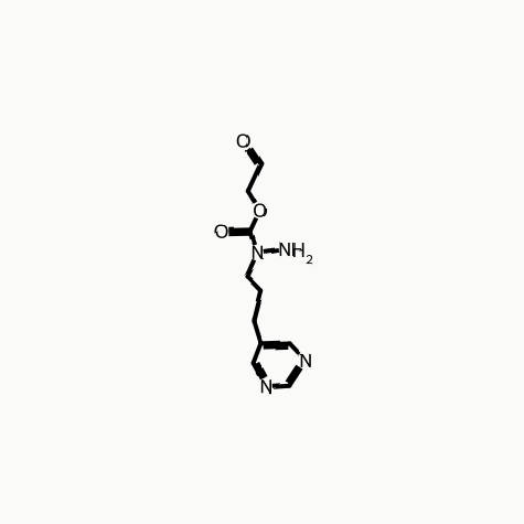 NN(CCCc1cncnc1)C(=O)OCC=O